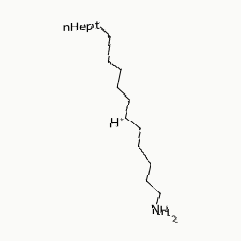 CCCCCCCCCCCCCCCCCCN.[H+]